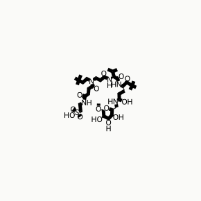 CO[C@@H]1O[C@H](CNC(O)CC[C@H](NC(=O)[C@@H](NC(=O)CCN(CCC(C)(C)C)C(=O)CCC(=O)NCCS(=O)(=O)O)C(C)C)C(=O)C(C)(C)C)[C@@H](O)[C@H](O)[C@H]1O